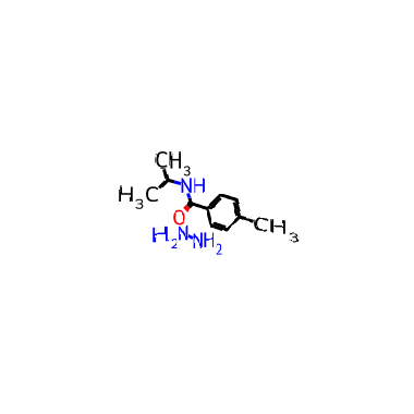 Cc1ccc(C(=O)NC(C)C)cc1.NN